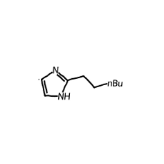 CCCCCCc1n[c]c[nH]1